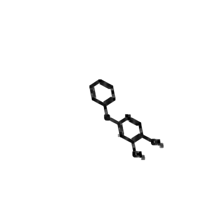 Cc1[c]c(Oc2ccccc2)ncc1C